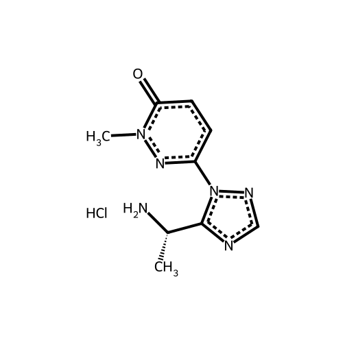 C[C@H](N)c1ncnn1-c1ccc(=O)n(C)n1.Cl